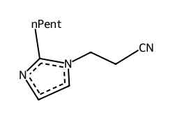 CCCCCc1nccn1CCC#N